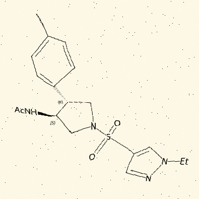 CCn1cc(S(=O)(=O)N2C[C@@H](NC(C)=O)[C@H](c3ccc(C)cc3)C2)cn1